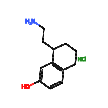 Cl.NCCC1CCCc2ccc(O)cc21